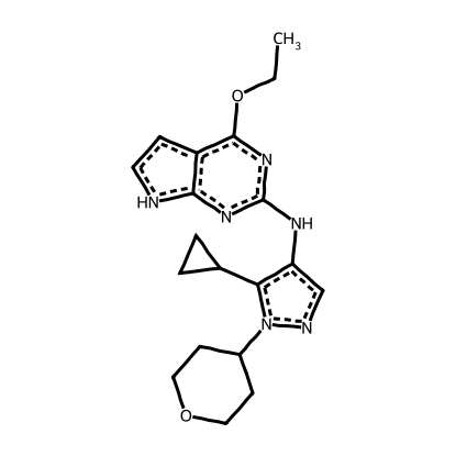 CCOc1nc(Nc2cnn(C3CCOCC3)c2C2CC2)nc2[nH]ccc12